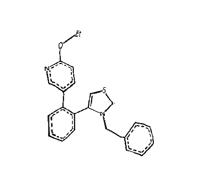 CCOc1ccc(-c2ccccc2C2=CS[CH]N2Cc2ccccc2)cn1